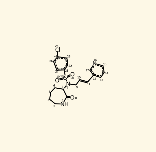 O=C1NCCCC[C@H]1N(C/C=C/c1cccnc1)S(=O)(=O)c1ccc(Cl)cc1